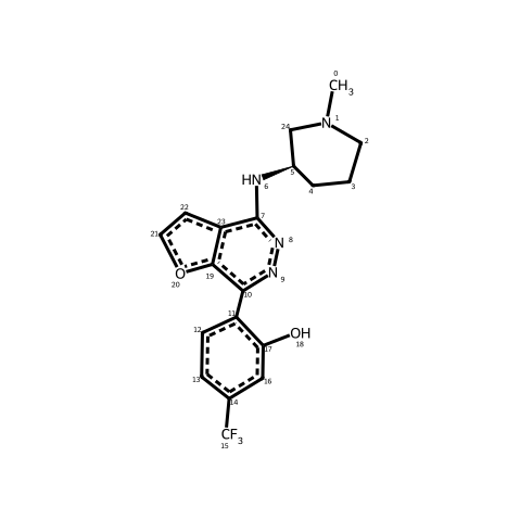 CN1CCC[C@@H](Nc2nnc(-c3ccc(C(F)(F)F)cc3O)c3occc23)C1